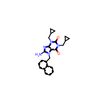 Nc1nc2c(c(=O)n(CC3CC3)c(=O)n2CC2CC2)n1Cc1cccc2ccccc12